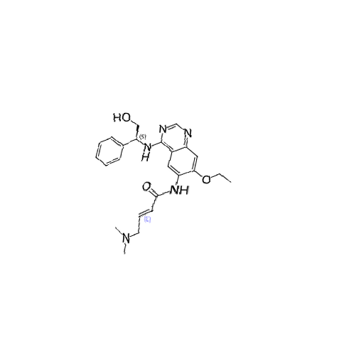 CCOc1cc2ncnc(N[C@H](CO)c3ccccc3)c2cc1NC(=O)/C=C/CN(C)C